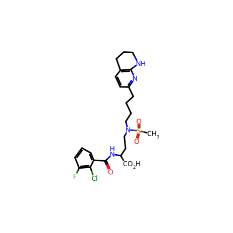 CS(=O)(=O)N(CCCCc1ccc2c(n1)NCCC2)CCC(NC(=O)c1cccc(F)c1Cl)C(=O)O